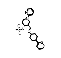 CS(=O)(=O)N[C@H]1CCN(c2ccccn2)C[C@H]1COC1CCC(c2cccnn2)CC1